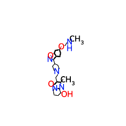 CNCCOc1ccc2c(C3CCN(CCc4c(C)nc5n(c4=O)CCCC5O)CC3)noc2c1